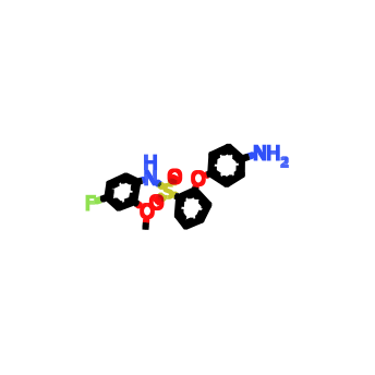 COc1cc(F)ccc1NS(=O)(=O)c1ccccc1Oc1ccc(N)cc1